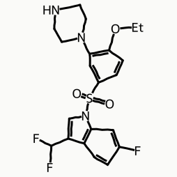 CCOc1ccc(S(=O)(=O)n2cc(C(F)F)c3ccc(F)cc32)cc1N1CCNCC1